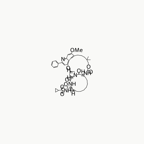 COc1cc2nc(-c3ccccc3)cc3c2cc1CCCC(C)(C)COC(=O)N[C@H]1CCCCCCC[C@@H]2C[C@@]2(C(=O)NS(=O)(=O)C2CC2)NC(=O)[C@@H]2C[C@H](CN2C1=O)O3